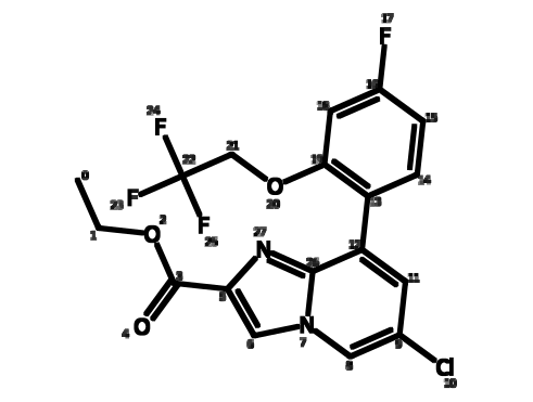 CCOC(=O)c1cn2cc(Cl)cc(-c3ccc(F)cc3OCC(F)(F)F)c2n1